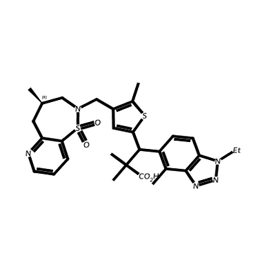 CCn1nnc2c(C)c(C(c3cc(CN4C[C@H](C)Cc5ncccc5S4(=O)=O)c(C)s3)C(C)(C)C(=O)O)ccc21